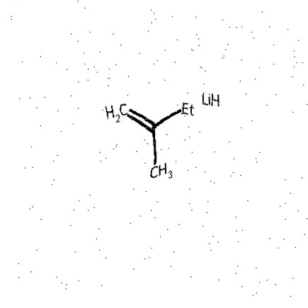 [CH2]CC(=C)C.[LiH]